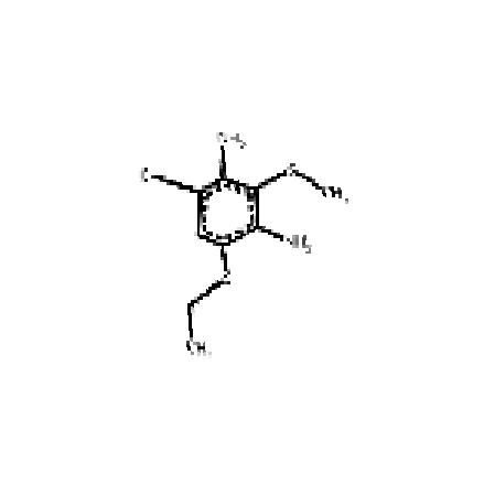 CCSc1cc(Cl)c(N)c(SC)c1N